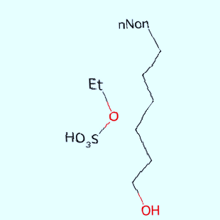 CCCCCCCCCCCCCCCO.CCOS(=O)(=O)O